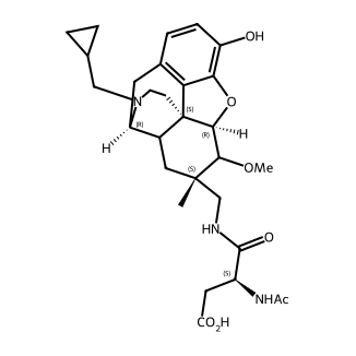 COC1[C@@H]2Oc3c(O)ccc4c3[C@@]23CCN(CC2CC2)[C@H](C4)C3C[C@@]1(C)CNC(=O)[C@H](CC(=O)O)NC(C)=O